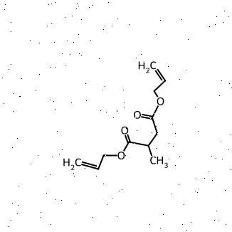 C=CCOC(=O)CC(C)C(=O)OCC=C